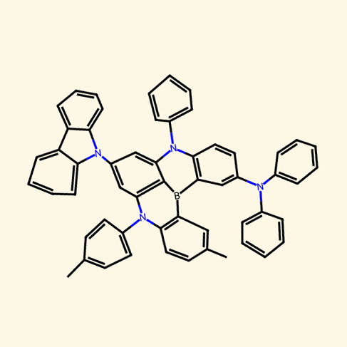 Cc1ccc(N2c3ccc(C)cc3B3c4cc(N(c5ccccc5)c5ccccc5)ccc4N(c4ccccc4)c4cc(-n5c6ccccc6c6ccccc65)cc2c43)cc1